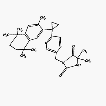 Cc1cc2c(cc1C1(c3ccc(CN4C(=O)NC(C)(C)C4=O)cn3)CC1)C(C)(C)CCC2(C)C